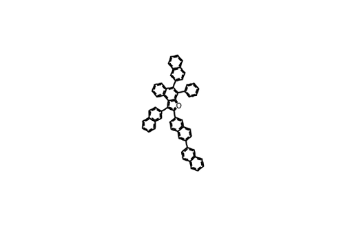 c1ccc(-c2c(-c3ccc4ccccc4c3)c3ccccc3c3c(-c4ccc5ccccc5c4)c(-c4ccc5cc(-c6ccc7ccccc7c6)ccc5c4)oc23)cc1